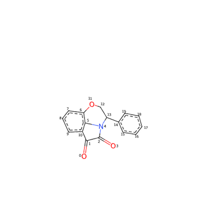 O=C1C(=O)N2c3c(cccc31)OCC2c1ccccc1